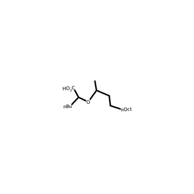 CCCCCCCCCCC(C)OC(CCCC)C(=O)O